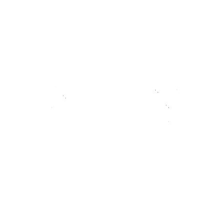 CC1(C)CN(C(=O)N2CC=C(C(C)(C)CCC(C)(C)C3=CCN(S(=O)(=O)C4CCCC4)CC3)CCC2)C1